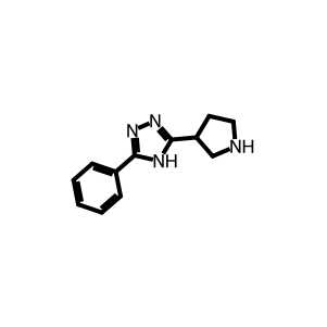 c1ccc(-c2nnc(C3CCNC3)[nH]2)cc1